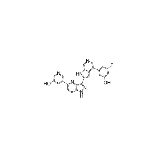 Oc1cncc(-c2ccc3[nH]nc(-c4cc5c(-c6cc(O)cc(F)c6)cncc5[nH]4)c3n2)c1